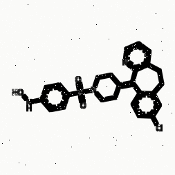 O=S(=O)(c1ccc(NO)cc1)N1CCC(=C2c3ccc(Cl)cc3CCc3cccnc32)CC1